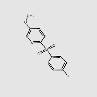 COc1ccc(S(=O)(=O)c2ccc(F)cc2)nn1